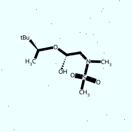 C[C@H](O[C@@H](O)CN(C)S(C)(=O)=O)C(C)(C)C